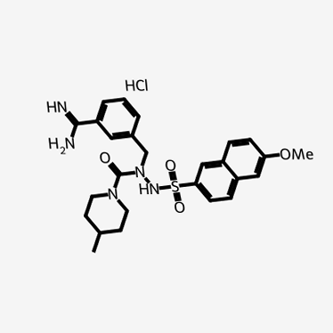 COc1ccc2cc(S(=O)(=O)NN(Cc3cccc(C(=N)N)c3)C(=O)N3CCC(C)CC3)ccc2c1.Cl